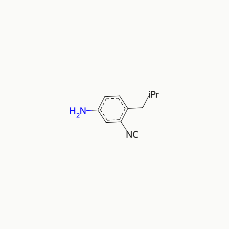 [C-]#[N+]c1cc(N)ccc1CC(C)C